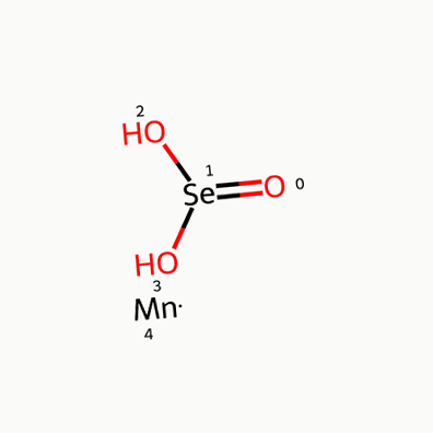 O=[Se](O)O.[Mn]